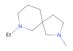 CCN1CCCC2(CCN(C)C2)C1